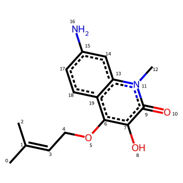 CC(C)=CCOc1c(O)c(=O)n(C)c2cc(N)ccc12